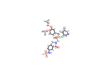 CS(=O)(=O)Nc1ccc2c(c1)C(=O)N(CC(=O)O[C@@H](Cc1c(Cl)cncc1Cl)c1ccc(OC(F)F)c(OCC3CC3)c1)C2